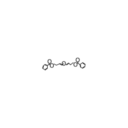 O=C(OCCC=COC=CCCOC(=O)c1ccccc1)c1ccccc1